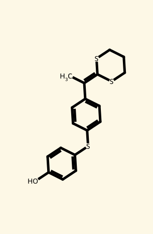 CC(=C1SCCCS1)c1ccc(Sc2ccc(O)cc2)cc1